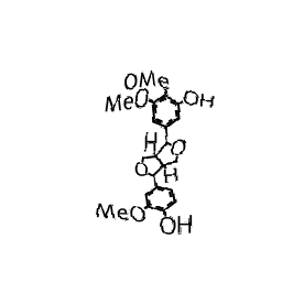 COc1cc([C@H]2OC[C@H]3[C@@H]2CO[C@@H]3c2cc(O)c(OC)c(OC)c2)ccc1O